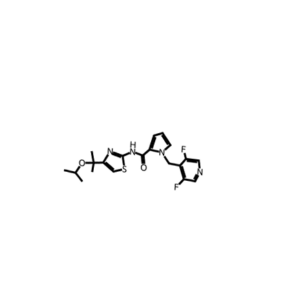 CC(C)OC(C)(C)c1csc(NC(=O)c2cccn2Cc2c(F)cncc2F)n1